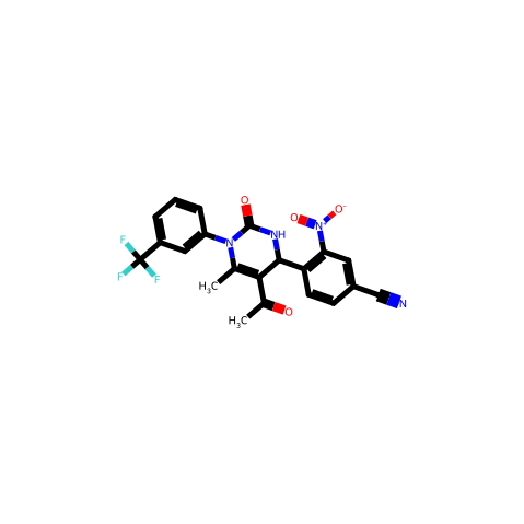 CC(=O)C1=C(C)N(c2cccc(C(F)(F)F)c2)C(=O)NC1c1ccc(C#N)cc1[N+](=O)[O-]